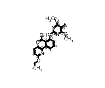 CCOc1cccc(-c2cccc(Oc3nc(OC)c(F)c(OC)n3)c2C(=O)O)n1